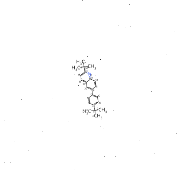 CC(C)(C)c1ccc(-c2ccc3nc(C(C)(C)C)ccc3c2)cc1